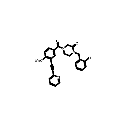 COc1ccc(C(=O)N2CCN(Cc3ccccc3Cl)C(=O)C2)cc1C#Cc1ccccn1